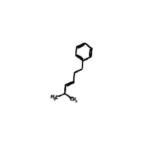 CC(C)/C=C/CCc1ccccc1